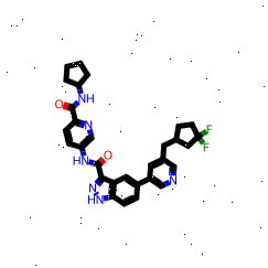 O=C(NC1CCCC1)c1ccc(NC(=O)c2n[nH]c3ccc(-c4cncc(CC5CCC(F)(F)C5)c4)cc23)cn1